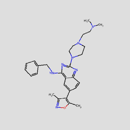 Cc1noc(C)c1-c1ccc2nc(N3CCN(CCN(C)C)CC3)nc(NCc3ccccc3)c2c1